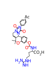 CC(=O)c1ccc(-n2c(=O)n3n(c2=O)C2C(=CC3)C(C)(C)Oc3cc(OC(=O)NC(CCCNC(=N)N)C(=O)O)ccc32)cc1